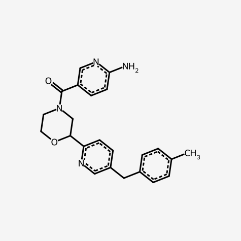 Cc1ccc(Cc2ccc(C3CN(C(=O)c4ccc(N)nc4)CCO3)nc2)cc1